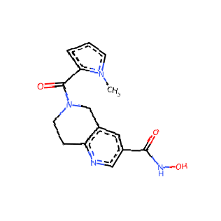 Cn1cccc1C(=O)N1CCc2ncc(C(=O)NO)cc2C1